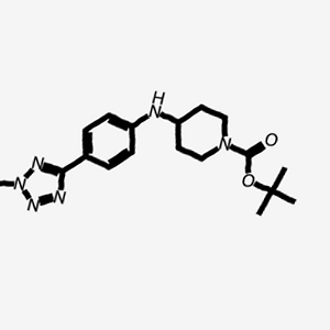 Cn1nnc(-c2ccc(NC3CCN(C(=O)OC(C)(C)C)CC3)cc2)n1